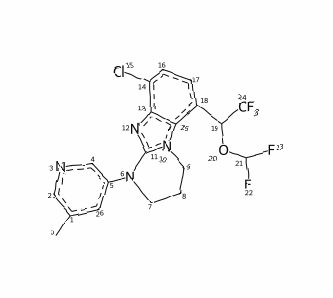 Cc1[c]ncc(N2CCCn3c2nc2c(Cl)ccc(C(OC(F)F)C(F)(F)F)c23)c1